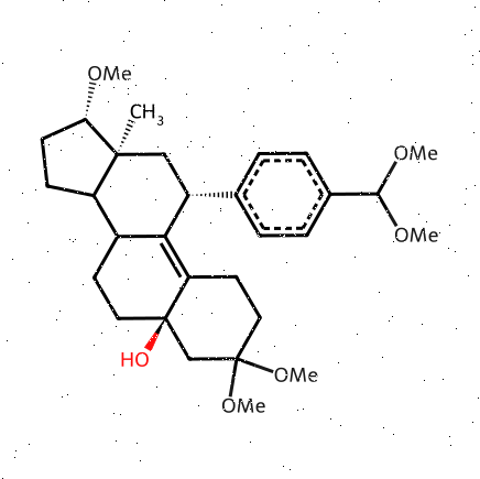 COC(OC)c1ccc([C@H]2C[C@@]3(C)C(CC[C@@H]3OC)C3CC[C@@]4(O)CC(OC)(OC)CCC4=C32)cc1